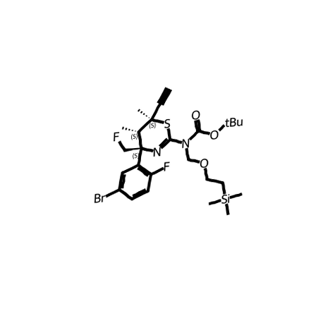 C#C[C@@]1(C)SC(N(COCC[Si](C)(C)C)C(=O)OC(C)(C)C)=N[C@](CF)(c2cc(Br)ccc2F)[C@@H]1C